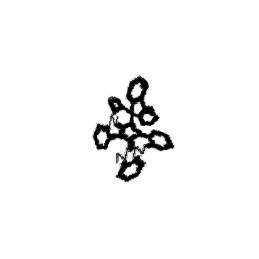 c1ccc2c(c1)-c1ccccc1C21c2ccccc2-n2c3ccccc3c3c4c(cc1c32)c1ccccc1n1c2ccccc2nc41